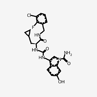 NC(=O)n1cc(NC(=O)N[C@@H](CC2CC2)C(=O)NCc2cccc(Cl)c2F)c2ccc(O)cc21